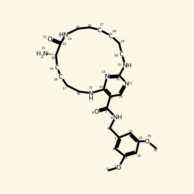 COc1cc(CNC(=O)c2cnc3nc2NCCCC[C@H](N)C(=O)NCCCCCCN3)cc(OC)c1